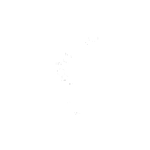 COCCOCCCOC(=O)c1cc2cc(NC(=O)[C@H]3[C@H](C4CCCCC4)CCN3C(=O)C3CCC(CNC(=O)OC(C)(C)C)CC3)ccc2o1